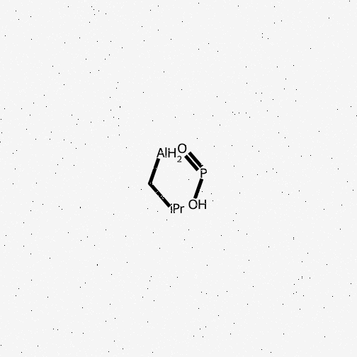 CC(C)[CH2][AlH2].O=PO